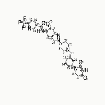 COc1cc2nn(C3CCN(Cc4cccc(N5CCC(=O)NC5=O)c4)CC3)cc2cc1NC(=O)c1ccc(C(F)(F)F)nc1